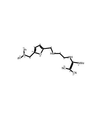 CNC(NCCNCc1ccc(CN(C(C)C)C(C)C)o1)=C(C#N)C#N